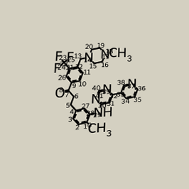 Cc1ccc(CCC(=O)c2ccc(CN3CCN(C)CC3)c(C(F)(F)F)c2)cc1Nc1cc(-c2cccnc2)ncn1